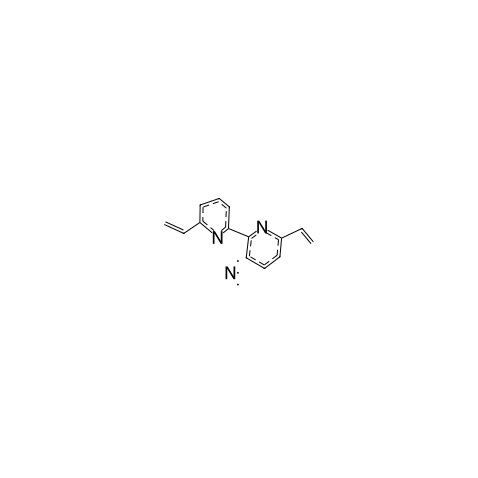 C=Cc1cccc(-c2cccc(C=C)n2)n1.[N]